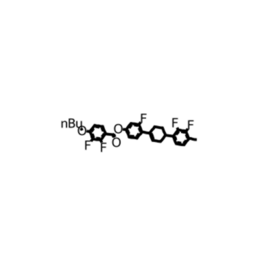 CCCCOc1ccc(C(=O)Oc2ccc(C3=CCC(c4ccc(C)c(F)c4F)CC3)c(F)c2)c(F)c1F